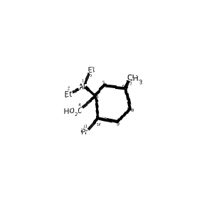 C[CH2][Al]([CH2]C)[C]1(C(=O)O)CC(C)CCC1C(C)C